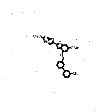 COc1cc(OCc2cccc(-c3cccc(C(F)(F)F)c3)c2)c2cc(-c3cn4nc(OC)sc4n3)oc2c1